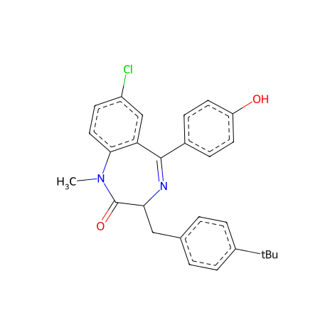 CN1C(=O)C(Cc2ccc(C(C)(C)C)cc2)N=C(c2ccc(O)cc2)c2cc(Cl)ccc21